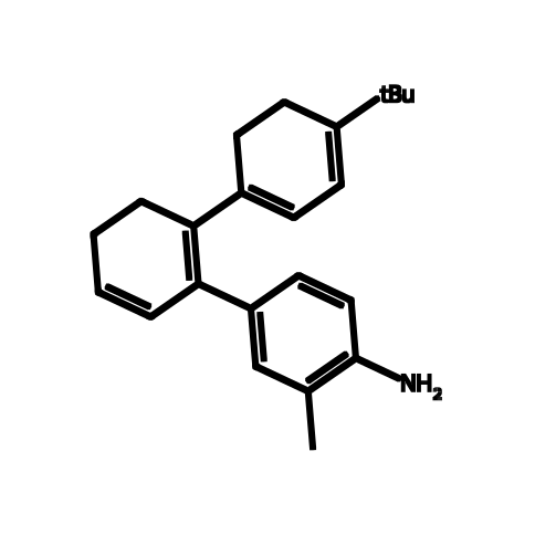 Cc1cc(C2=C(C3=CC=C(C(C)(C)C)CC3)CCC=C2)ccc1N